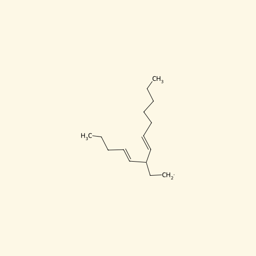 [CH2]CC(C=CCCC)C=CCCCCC